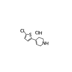 Cl.Clc1ccc(C2=CCNCC2)s1